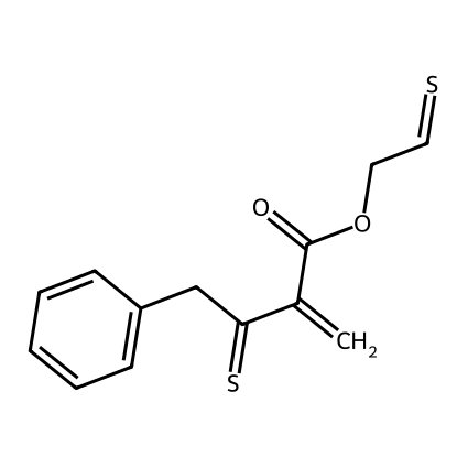 C=C(C(=O)OCC=S)C(=S)Cc1ccccc1